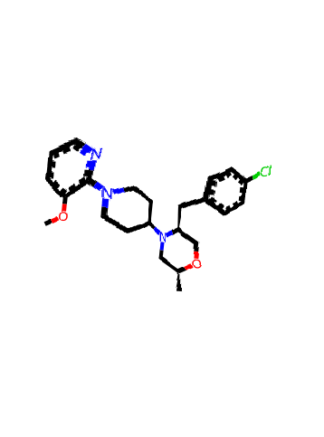 COc1cccnc1N1CCC(N2C[C@H](C)OC[C@@H]2Cc2ccc(Cl)cc2)CC1